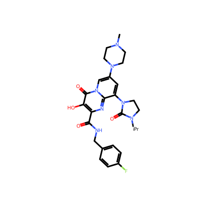 CC(C)N1CCN(c2cc(N3CCN(C)CC3)cn3c(=O)c(O)c(C(=O)NCc4ccc(F)cc4)nc23)C1=O